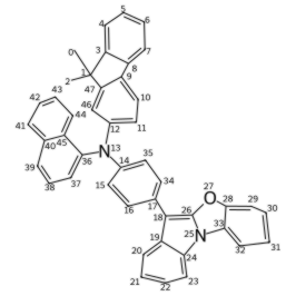 CC1(C)c2ccccc2-c2ccc(N(c3ccc(-c4c5ccccc5n5c4oc4ccccc45)cc3)c3cccc4ccccc34)cc21